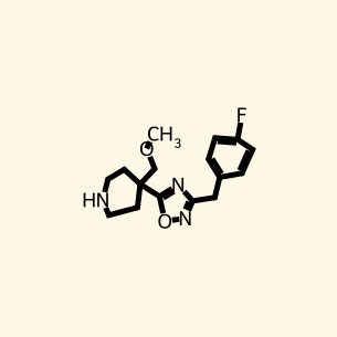 COCC1(c2nc(Cc3ccc(F)cc3)no2)CCNCC1